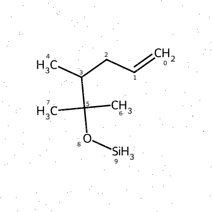 C=CCC(C)C(C)(C)O[SiH3]